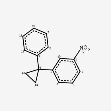 O=[N+]([O-])c1cccc(C2(c3ccccc3)CC2)c1